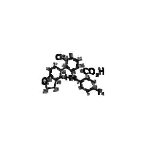 O=C(O)c1cc(F)ccc1Nc1cccc(Cl)c1-c1ccc2c(c1)CCO2